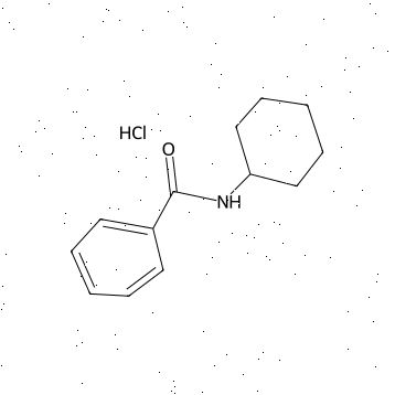 Cl.O=C(NC1CCCCC1)c1ccccc1